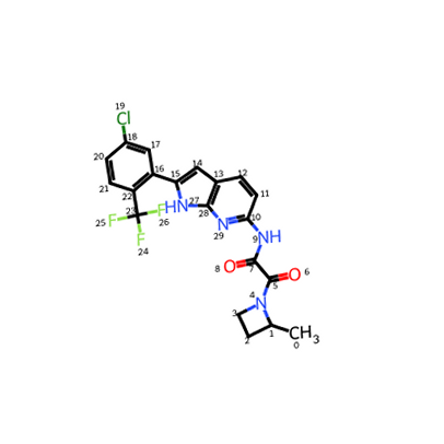 CC1CCN1C(=O)C(=O)Nc1ccc2cc(-c3cc(Cl)ccc3C(F)(F)F)[nH]c2n1